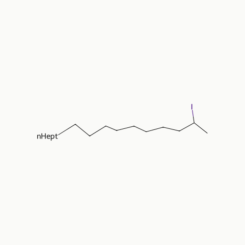 CCCCCCCCCCCCCCCC(C)I